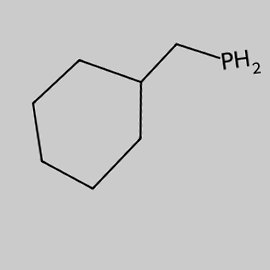 PCC1CCCCC1